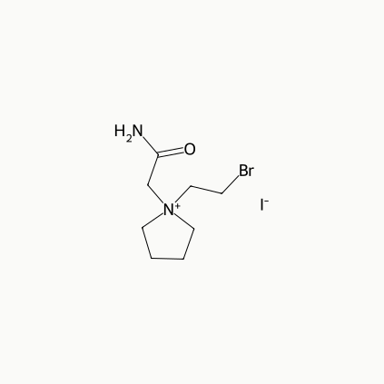 NC(=O)C[N+]1(CCBr)CCCC1.[I-]